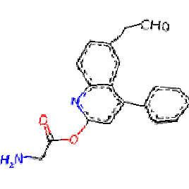 NCC(=O)Oc1cc(-c2ccccc2)c2cc(CC=O)ccc2n1